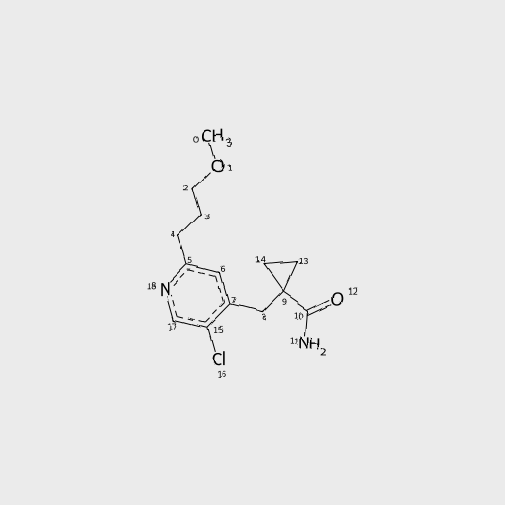 COCCCc1cc(CC2(C(N)=O)CC2)c(Cl)cn1